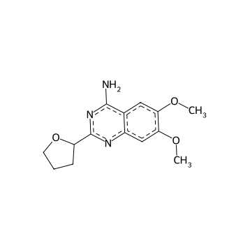 COc1cc2nc(C3CCCO3)nc(N)c2cc1OC